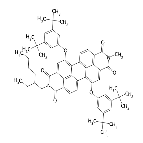 CCCCC(CC)CN1C(=O)c2ccc3c4c(Oc5cc(C(C)(C)C)cc(C(C)(C)C)c5)cc5c6c(ccc(c7c(Oc8cc(C(C)(C)C)cc(C(C)(C)C)c8)cc(c2c37)C1=O)c64)C(=O)N(C)C5=O